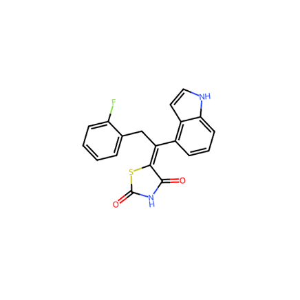 O=C1NC(=O)C(=C(Cc2ccccc2F)c2cccc3[nH]ccc23)S1